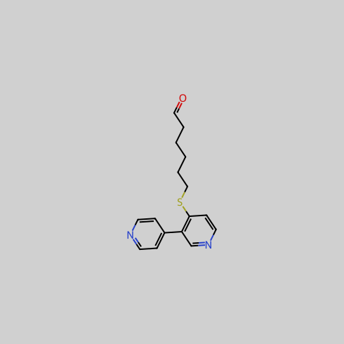 O=CCCCCCSc1ccncc1-c1ccncc1